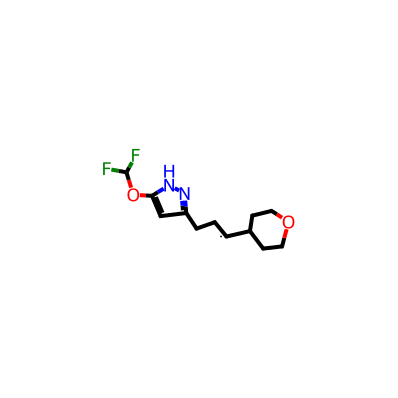 FC(F)Oc1cc(CC[CH]C2CCOCC2)n[nH]1